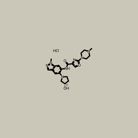 CN1CCN(c2nc(C(=O)Nc3cc4c(cnn4C)cc3N3CC[C@H](O)C3)co2)CC1.Cl